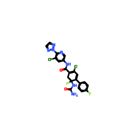 NC(=O)NC1(F)CC(C(=O)Nc2cnc(-n3nccn3)c(Cl)c2)=C(Cl)C=C1c1ccc(F)cc1